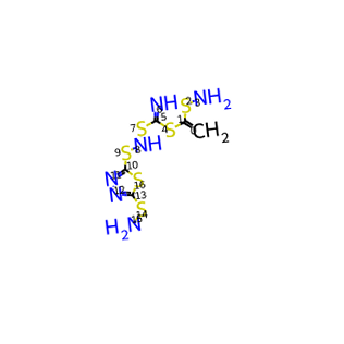 C=C(SN)SC(=N)SNSc1nnc(SN)s1